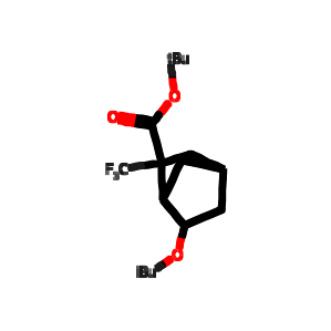 CCC(C)OC1CC2CC1C(C(=O)OC(C)(C)C)(C(F)(F)F)C2